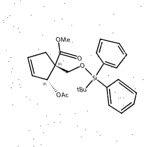 COC(=O)[C@@]1(CO[Si](c2ccccc2)(c2ccccc2)C(C)(C)C)CC=C[C@H]1OC(C)=O